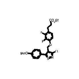 CCOC(=O)CCc1ccc(OCc2c(Cl)nsc2-c2ccc(OC)cc2)c(F)c1F